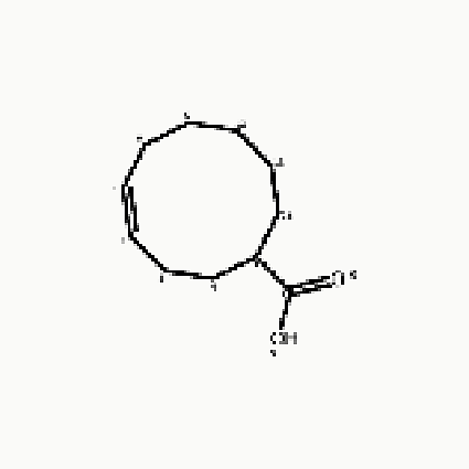 O=C(O)C1CCC=CCCCCC1